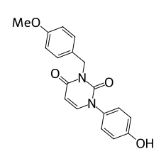 COc1ccc(Cn2c(=O)ccn(-c3ccc(O)cc3)c2=O)cc1